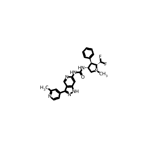 Cc1cc(-c2n[nH]c3cc(NC(=O)N[C@H]4CN(C)[C@@H](C(F)F)[C@@H]4c4ccccc4)ncc23)ccn1